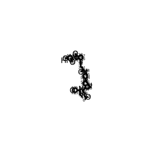 CC(=O)N1CCn2c(C3CCOCC3)nc(-c3ccnc4cc(N5CCC(N(C)C(=O)CCC#Cc6cccc7c6CN(C6CCC(=O)NC6=O)C7=O)CC5)ccc34)c2C1